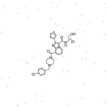 CC[C@@H](CO)NC(=O)c1c(-c2ccsc2)nc2c(C(=O)N3CCN(Cc4ccc(Cl)cc4)CC3)cccn12